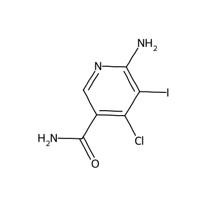 NC(=O)c1cnc(N)c(I)c1Cl